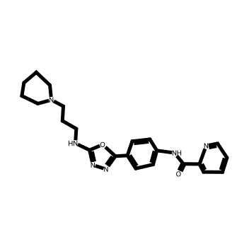 O=C(Nc1ccc(-c2nnc(NCCCN3CCCCC3)o2)cc1)c1ccccn1